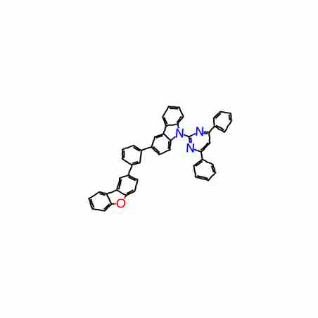 c1ccc(-c2cc(-c3ccccc3)nc(-n3c4ccccc4c4cc(-c5cccc(-c6ccc7oc8ccccc8c7c6)c5)ccc43)n2)cc1